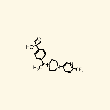 C=C(c1ccc(C2(O)COC2)cc1)N1CCN(c2ccc(C(F)(F)F)nc2)CC1